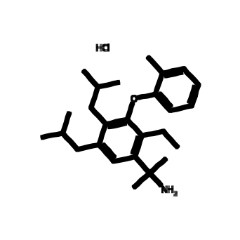 CCc1c(C(C)(C)N)cc(CC(C)C)c(CC(C)C)c1Oc1ccccc1C.Cl